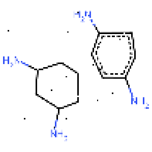 NC1CCCC(N)C1.Nc1ccc(N)cc1